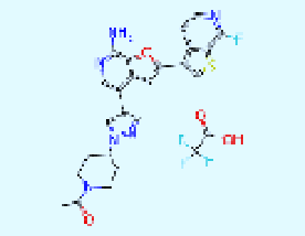 CC(=O)N1CCC(n2cc(-c3cnc(N)c4oc(-c5csc6c(F)nccc56)cc34)cn2)CC1.O=C(O)C(F)(F)F